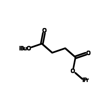 CC(C)COC(=O)CCC(=O)OC(C)C